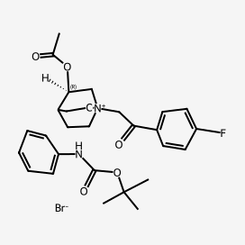 CC(=O)O[C@H]1C[N+]2(CC(=O)c3ccc(F)cc3)CCC1CC2.CC(C)(C)OC(=O)Nc1ccccc1.[Br-]